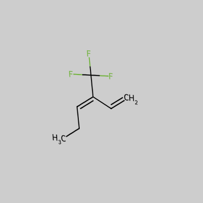 C=C/C(=C\CC)C(F)(F)F